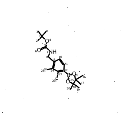 CC(C)(C)OC(=O)NCc1ccc(B2OC(C)(C)C(C)(C)O2)c(F)c1F